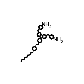 CCCCCCCCC[C@H]1CC[C@H](CCC2CCC(c3ccc(Cc4ccc(N)cc4)cc3)(c3ccc(Cc4ccc(N)cc4)cc3)CC2)CC1